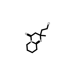 CC1(CCCl)CC(=O)N2CCCCC2=N1